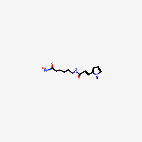 Cn1cccc1C=CC(=O)NCCCCCC(=O)NO